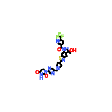 CC(C)(O)c1cc2nc(C3CCN(Cc4cnc(N5CCC(=O)NC5=O)cn4)CC3)sc2cc1NC(=O)c1ccc(C(F)(F)F)nc1